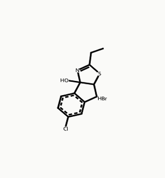 Br.CCC1=NC2(O)c3ccc(Cl)cc3CC2S1